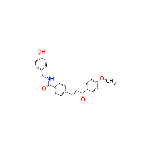 COc1ccc(C(=O)C=Cc2ccc(C(=O)N[CH]c3ccc(O)cc3)cc2)cc1